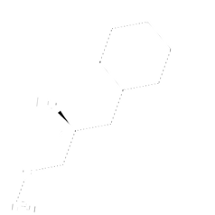 CCCCOC[C@@H](O)CC1CCCCC1